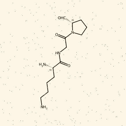 NCCCC[C@H](N)C(=O)NCC(=O)N1CCC[C@H]1[C]=O